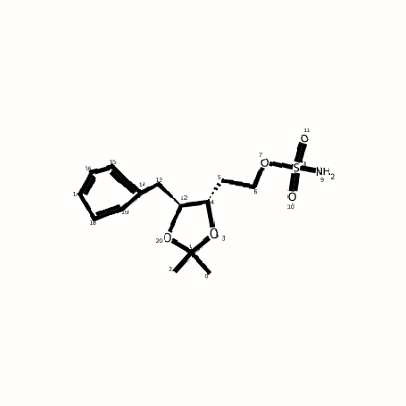 CC1(C)O[C@@H](CCOS(N)(=O)=O)[C@H](Cc2ccccc2)O1